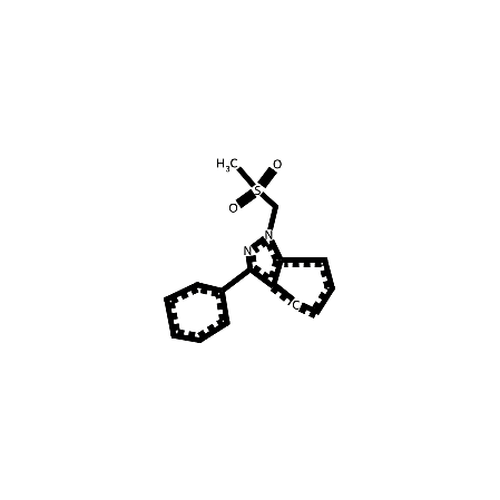 CS(=O)(=O)Cn1nc(-c2ccccc2)c2ccccc21